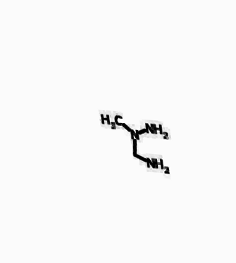 CN(N)CN